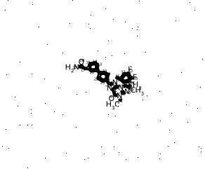 CCN1C(=O)c2nc(-c3ccc(-c4cccc(CC(N)=O)c4)cc3)n(Cc3ccc(F)c(F)c3)c2N2CC(C)(C)N=C12